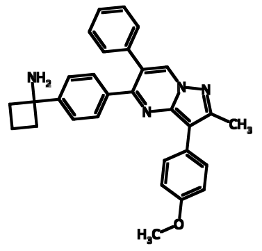 COc1ccc(-c2c(C)nn3cc(-c4ccccc4)c(-c4ccc(C5(N)CCC5)cc4)nc23)cc1